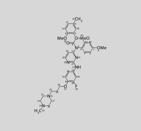 COc1ccc(N(C(=O)Oc2cc(C)ccc2OC)c2ccnc(Nc3ccc(OCCCN4CCN(C)CC4)c(F)c3)n2)c(OC)c1